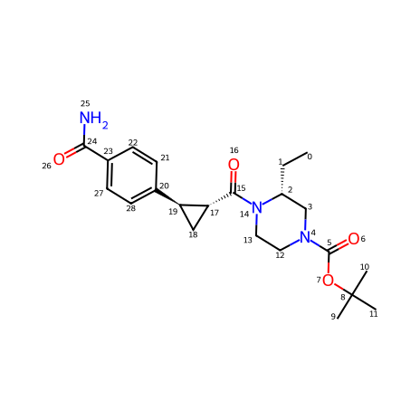 CC[C@@H]1CN(C(=O)OC(C)(C)C)CCN1C(=O)[C@@H]1C[C@H]1c1ccc(C(N)=O)cc1